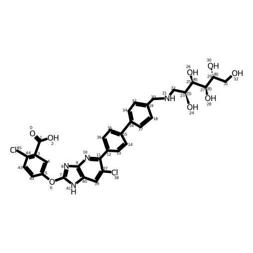 O=C(O)c1cc(Oc2nc3nc(-c4ccc(-c5ccc(CNC[C@H](O)[C@@H](O)[C@H](O)[C@H](O)CO)cc5)cc4)c(Cl)cc3[nH]2)ccc1Cl